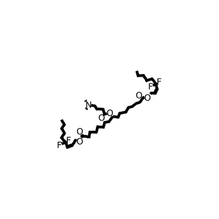 CCCCCC(F)(F)/C=C\COC(=O)CCCCCCCC(CCCCCCCC(=O)OC/C=C\C(F)(F)CCCCC)OC(=O)CCCN(C)C